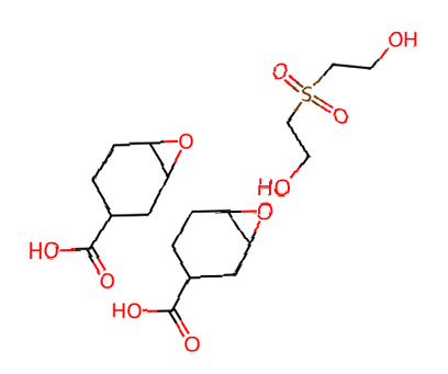 O=C(O)C1CCC2OC2C1.O=C(O)C1CCC2OC2C1.O=S(=O)(CCO)CCO